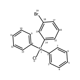 Cl[Si](c1ccccc1)(c1ccccc1)c1cccc(Br)c1